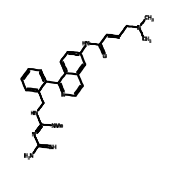 CN/C(=N\C(=N)N)NCc1ccccc1-c1nccc2cc(NC(=O)/C=C/CN(C)C)ccc12